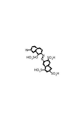 [N]c1ccc2ccc(N=Nc3cc4c(S(=O)(=O)O)cc(S(=O)(=O)O)cc4cc3S(=O)(=O)O)c(OS(=O)(=O)O)c2c1